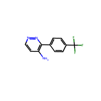 Nc1ccnnc1-c1ccc(C(F)(F)F)cc1